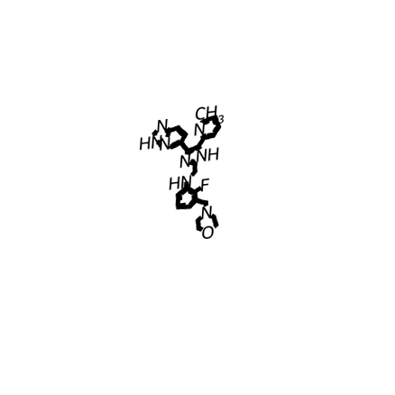 Cc1cccc(-c2[nH]c(CNc3cccc(CN4CCOCC4)c3F)nc2C2=CN3NCN=C3C=C2)n1